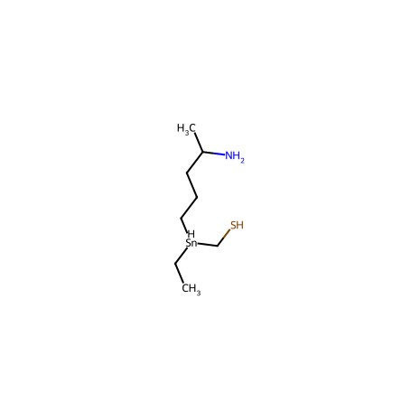 C[CH2][SnH]([CH2]S)[CH2]CCC(C)N